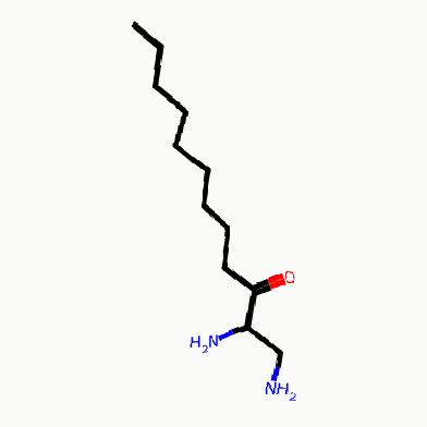 CCCCCCCCCC(=O)C(N)CN